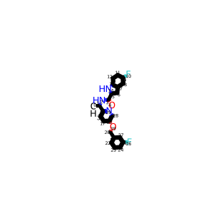 CC(NC(=O)c1cc2cc(F)ccc2[nH]1)c1ccc(OCc2cccc(F)c2)cn1